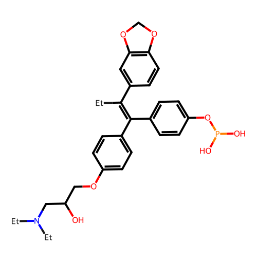 CCC(=C(c1ccc(OCC(O)CN(CC)CC)cc1)c1ccc(OP(O)O)cc1)c1ccc2c(c1)OCO2